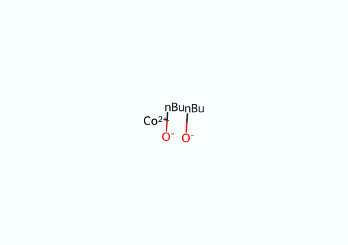 CCCC[O-].CCCC[O-].[Co+2]